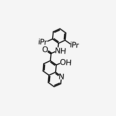 CC(C)c1cccc(C(C)C)c1NC(=O)c1ccc2cccnc2c1O